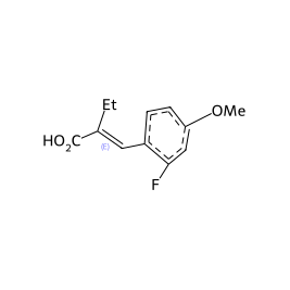 CC/C(=C\c1ccc(OC)cc1F)C(=O)O